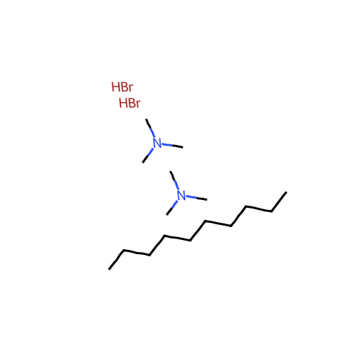 Br.Br.CCCCCCCCCC.CN(C)C.CN(C)C